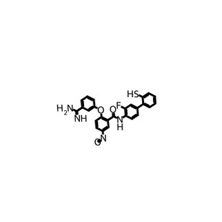 N=C(N)c1cccc(Oc2ccc(N=O)cc2C(=O)Nc2ccc(-c3ccccc3S)cc2F)c1